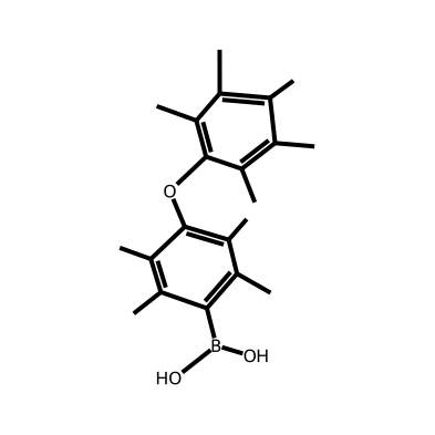 Cc1c(C)c(C)c(Oc2c(C)c(C)c(B(O)O)c(C)c2C)c(C)c1C